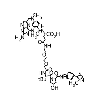 Cc1ncsc1-c1ccc(CNC(=O)C2C[C@@H](O)CN2C(=O)C(NC(=O)COCCOCCNC(=O)CCC(NC(=O)c2ccc(N(C)Cc3cnc4nc(N)nc(N)c4n3)cc2)C(=O)O)C(C)(C)C)cc1